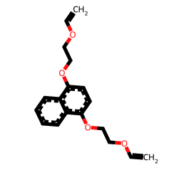 C=COCCOc1ccc(OCCOC=C)c2ccccc12